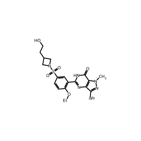 CCCc1nn(C)c2c(=O)[nH]c(-c3cc(S(=O)(=O)N4CC(CCO)C4)ccc3OCC)nc12